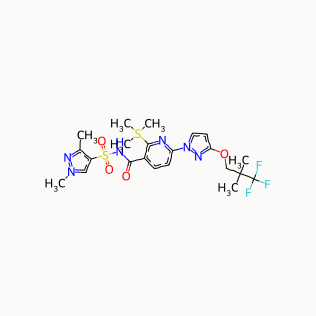 Cc1nn(C)cc1S(=O)(=O)NC(=O)c1ccc(-n2ccc(OCC(C)(C)C(F)(F)F)n2)nc1S(C)(C)C